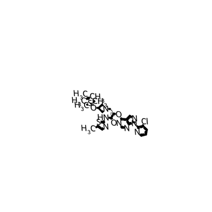 Cc1cnc(NC(=O)[C@H](CN2CC(O[Si](C)(C)C(C)(C)C)C2)Oc2ncnc3c2cnn3-c2ncccc2Cl)s1